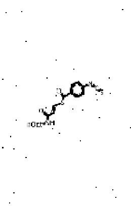 CCCCCCCCNC(=O)C=CSC(=O)c1ccc(N=C=S)cc1